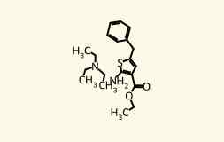 CCN(CC)CC.CCOC(=O)c1cc(Cc2ccccc2)sc1N